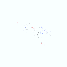 COCCN1C(C)(C)CC(Oc2ncc([C@H]3CC[C@H](O)CC3)c3nc(NC4(C)CC4)ncc23)CC1(C)C